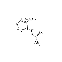 NC(=O)CSc1ncccc1C(F)(F)F